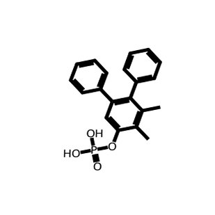 Cc1c(OP(=O)(O)O)cc(-c2ccccc2)c(-c2ccccc2)c1C